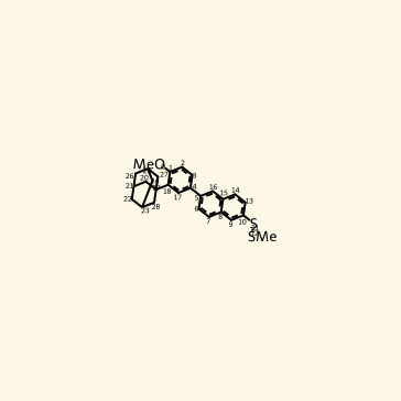 COc1ccc(-c2ccc3cc(SSC)ccc3c2)cc1C12CC3CC(CC(C3)C1)C2